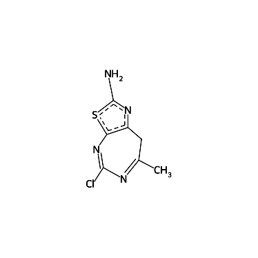 CC1=NC(Cl)=Nc2sc(N)nc2C1